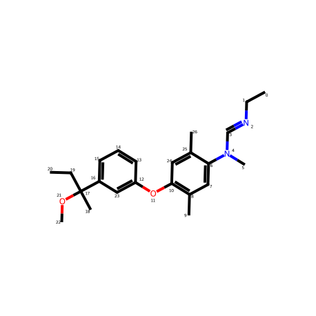 CCN=CN(C)c1cc(C)c(Oc2cccc(C(C)(CC)OC)c2)cc1C